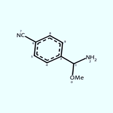 COC(N)c1ccc(C#N)cc1